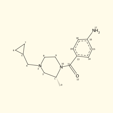 C[C@@H]1CN(CC2CC2)CCN1C(=O)c1ccc(N)cc1